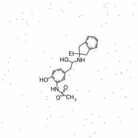 CCC1(NC(O)Cc2ccc(O)c(NS(C)(=O)=O)c2)Cc2ccccc2C1